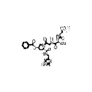 CC[C@H](C)[C@H](NC(=O)CCC(=O)O)C(=O)NCC(=O)N1C[C@H](OC(=O)c2ccccc2)C[C@H]1C(=O)NCc1nn[nH]n1